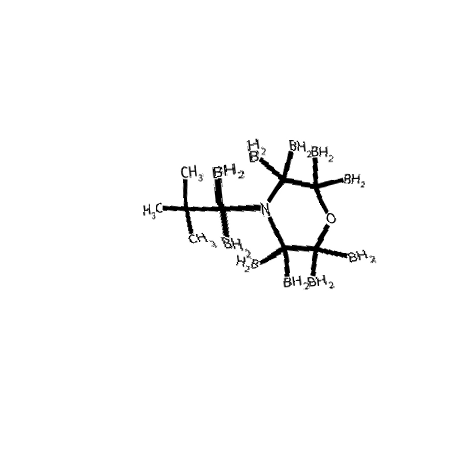 BC1(B)OC(B)(B)C(B)(B)N(C(B)(B)C(C)(C)C)C1(B)B